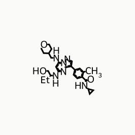 CC[C@@H](CO)Nc1cc(NCC2CCOCC2)n2ncc(-c3ccc(C(=O)NC4CC4)c(C)c3)c2n1